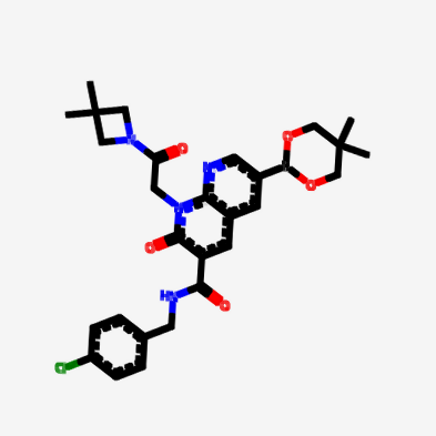 CC1(C)COB(c2cnc3c(c2)cc(C(=O)NCc2ccc(Cl)cc2)c(=O)n3CC(=O)N2CC(C)(C)C2)OC1